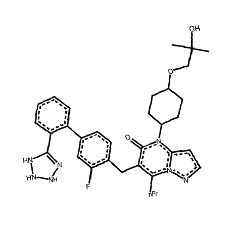 CCCc1c(Cc2ccc(-c3ccccc3C3=NNNN3)cc2F)c(=O)n(C2CCC(OCC(C)(C)O)CC2)c2ccnn12